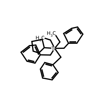 C[CH2][Ti]([CH2]C)([CH2]c1ccccc1)([CH2]c1ccccc1)([CH2]c1ccccc1)[CH]1CCCC1